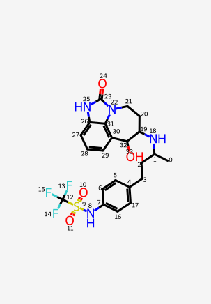 CC(CCc1ccc(NS(=O)(=O)C(F)(F)F)cc1)NC1CCn2c(=O)[nH]c3cccc(c32)C1O